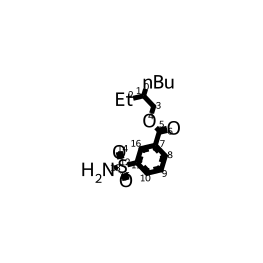 CCCCC(CC)COC(=O)c1cccc(S(N)(=O)=O)c1